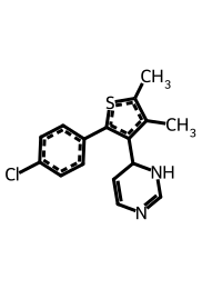 Cc1sc(-c2ccc(Cl)cc2)c(C2C=CN=CN2)c1C